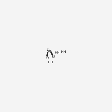 C[CH2][Al].C[CH2][Al].[HH].[HH].[HH]